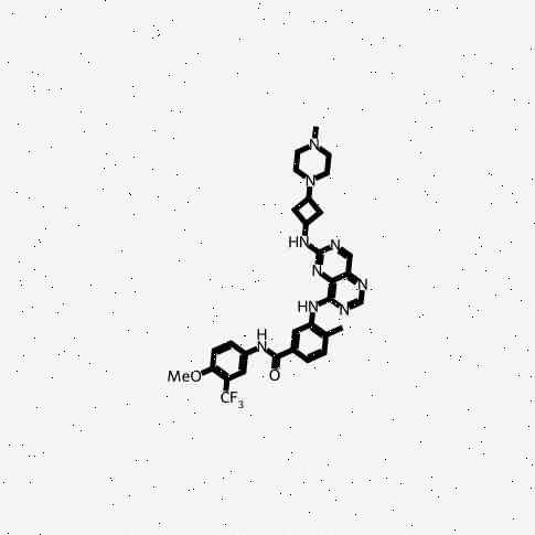 COc1ccc(NC(=O)c2ccc(C)c(Nc3ncnc4cnc(NC5CC(N6CCN(C)CC6)C5)nc34)c2)cc1C(F)(F)F